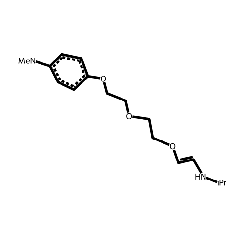 CNc1ccc(OCCOCCO/C=C/NC(C)C)cc1